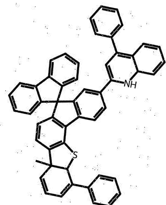 CC12C=CC=C(c3ccccc3)C1Sc1c2ccc2c1-c1ccc(C3=CC(c4ccccc4)=C4C=CC=CC4N3)cc1C21c2ccccc2-c2ccccc21